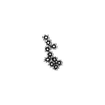 c1ccc(-c2ccc(N(c3ccccc3)c3cccc(-c4ccc5c(c4)c4ccccc4n5-c4ccc5c(c4)C(c4ccccc4)(c4ccccc4)c4ccccc4-5)c3)cc2)cc1